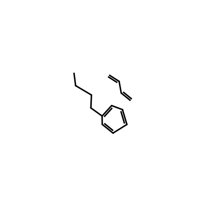 C=CC=C.CCCCc1ccccc1